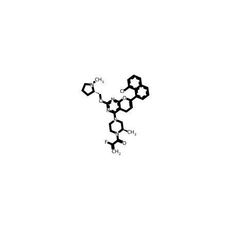 C=C(F)C(=O)N1CCN(c2nc(OC[C@@H]3CCCN3C)nc3c2CC=C(c2cccc4cccc(Cl)c24)O3)C[C@H]1C